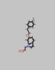 OCCn1ccc2ccc(OCCc3ccc(F)cc3)cc21